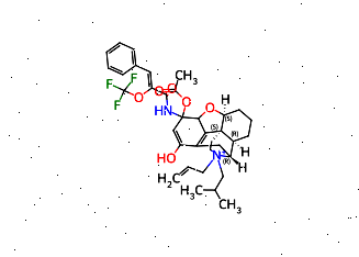 C=CC[N+]1(CC(C)C)CC[C@@]23C4=C5C[C@@H]1[C@@H]2CCC[C@@H]3OC4C(NC(=O)C(=Cc1ccccc1)OC(F)(F)F)(OC(C)=O)C=C5O